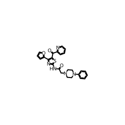 O=C(CN1CCN(c2ccccc2)CC1)Nc1nc(-c2ccco2)c(C(=O)c2ccccn2)s1